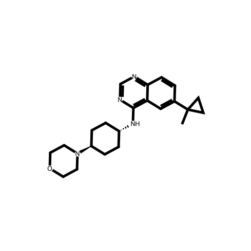 CC1(c2ccc3ncnc(N[C@H]4CC[C@H](N5CCOCC5)CC4)c3c2)CC1